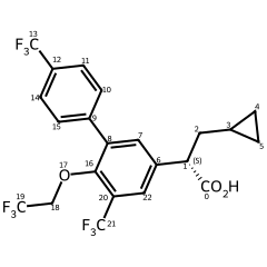 O=C(O)[C@@H](CC1CC1)c1cc(-c2ccc(C(F)(F)F)cc2)c(OCC(F)(F)F)c(C(F)(F)F)c1